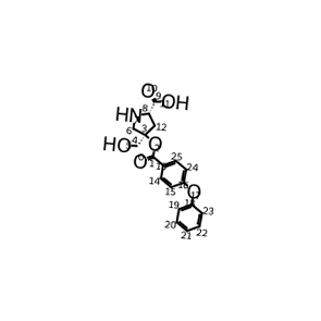 O=C(O[C@@]1(CO)CN[C@H](C(=O)O)C1)c1ccc(Oc2ccccc2)cc1